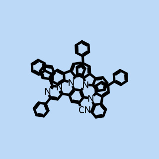 N#Cc1cc(-c2cc(-c3ccccc3)nc(-c3ccccc3)n2)c(-n2c3ccccc3c3cc(-c4ccccc4)ccc32)c(-n2c3ccccc3c3cc(-c4ccccc4)ccc32)c1-n1c2ccccc2c2cc(-c3ccccc3)ccc21